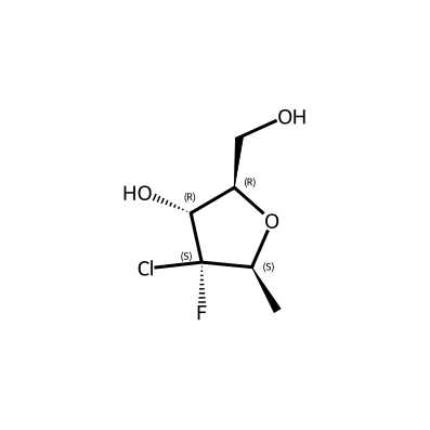 C[C@@H]1O[C@H](CO)[C@@H](O)[C@]1(F)Cl